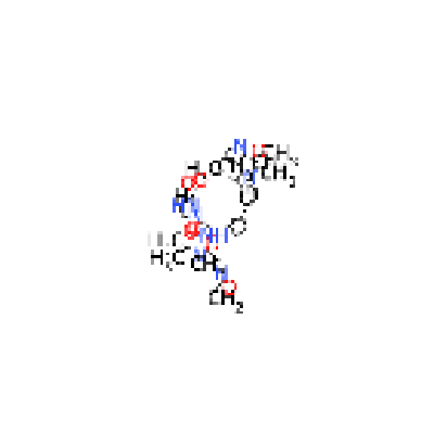 C=CC(=O)N1CC[C@H](C(=O)N(C)[C@H](C(=O)N[C@H]2Cc3cccc(c3)-c3ccc4c(c3)c(c(-c3cccnc3[C@H](C)OC)n4CC)CC(C)(C)COC(=O)[C@@H]3CCCN(N3)C2=O)C(C)C)C1